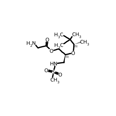 C[C@H](O[C@@H](CNS(C)(=O)=O)COC(=O)CN)C(C)(C)C